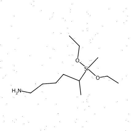 CCO[Si](C)(OCC)C(C)CCCCN